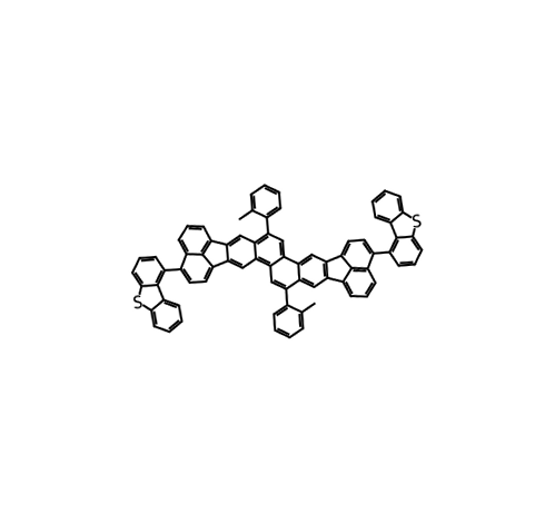 Cc1ccccc1-c1cc2c3cc4c(cc3c(-c3ccccc3C)cc2c2cc3c(cc12)-c1cccc2c(-c5cccc6sc7ccccc7c56)ccc-3c12)-c1cccc2c(-c3cccc5sc6ccccc6c35)ccc-4c12